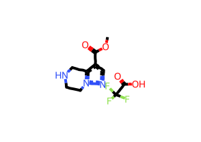 COC(=O)c1cnn2c1CNCC2.O=C(O)C(F)(F)F